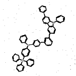 C1=CCCC([Si](c2ccccc2)(c2ccccc2)c2ccc(N(c3ccccc3)c3ccc(-c4cccc(-c5ccc6c(c5)c5ccc(-c7ccccc7)cc5n6-c5ccccc5)c4)cc3)cc2)=C1